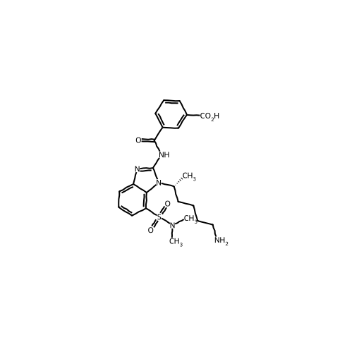 C[C@H](CCCCN)n1c(NC(=O)c2cccc(C(=O)O)c2)nc2cccc(S(=O)(=O)N(C)C)c21